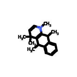 CC1C2=C(C(C)c3ccccc31)C(C)(C)C=CN2C